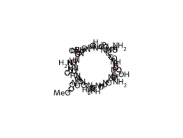 CCCC[C@H]1C(=O)N(C)[C@@H](CCCC)C(=O)N[C@@H](CC(C)C)C(=O)N[C@H](C(=O)NCC(N)=O)CSCC(=O)N[C@H]2Cc3ccc(O)cc3N(C2=O)[C@@H](C)C(=O)N[C@@H](CC(N)=O)C(=O)N2CCC[C@H]2C(=O)N[C@@H](CN)C(=O)N[C@@H](CC(C)C)C(=O)N2C[C@H](Oc3nccc4cc(OC)ccc34)C[C@H]2C(=O)N[C@@H](Cc2c[nH]c3ccccc23)C(=O)N[C@@H](CCN)C(=O)N[C@@H](Cc2c[nH]c3ccccc23)C(=O)N1C